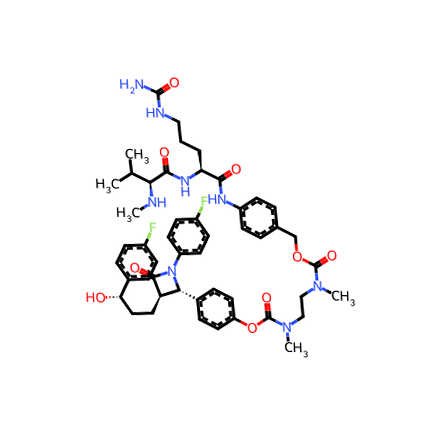 CN[C@H](C(=O)N[C@@H](CCCNC(N)=O)C(=O)Nc1ccc(COC(=O)N(C)CCN(C)C(=O)Oc2ccc([C@@H]3[C@@H](CC[C@H](O)c4ccc(F)cc4)C(=O)N3c3ccc(F)cc3)cc2)cc1)C(C)C